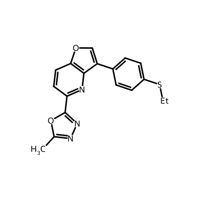 CCSc1ccc(-c2coc3ccc(-c4nnc(C)o4)nc23)cc1